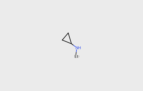 C[C]NC1CC1